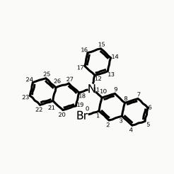 Brc1cc2ccccc2cc1N(c1ccccc1)c1ccc2ccccc2c1